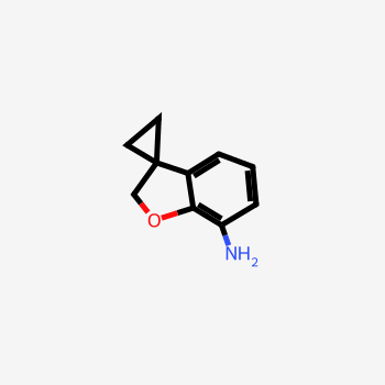 Nc1cccc2c1OCC21CC1